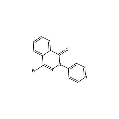 O=c1c2ccccc2c(Br)nn1-c1ccncc1